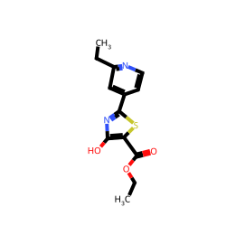 CCOC(=O)c1sc(-c2ccnc(CC)c2)nc1O